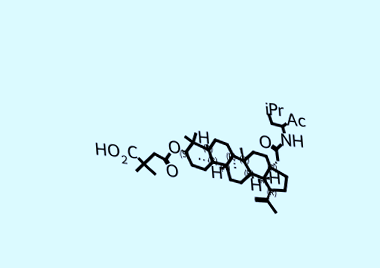 C=C(C)[C@@H]1CC[C@]2(CC(=O)NC(CC(C)C)C(C)=O)CC[C@]3(C)[C@H](CC[C@@H]4[C@@]5(C)CC[C@H](OC(=O)CC(C)(C)C(=O)O)C(C)(C)[C@@H]5CC[C@]43C)[C@@H]12